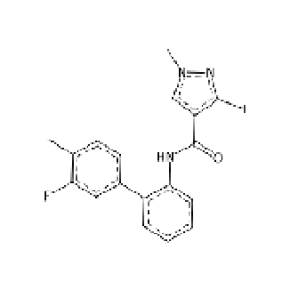 Cc1ccc(-c2ccccc2NC(=O)c2cn(C)nc2I)cc1F